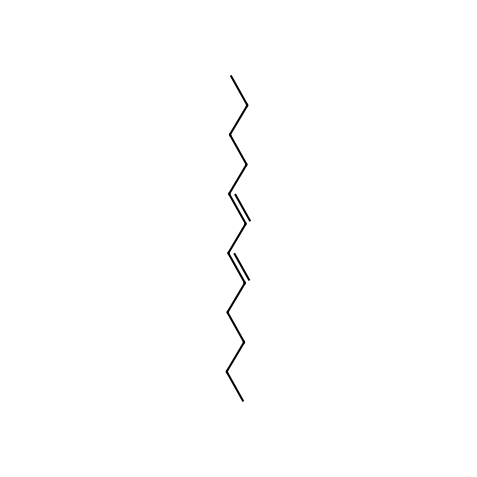 CCCCC=CC=CCCCC